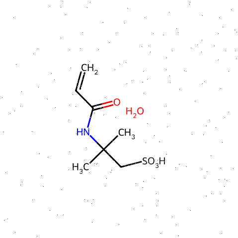 C=CC(=O)NC(C)(C)CS(=O)(=O)O.O